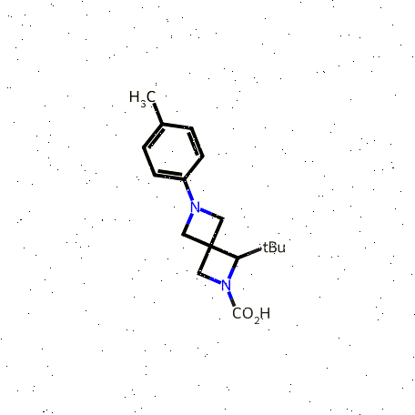 Cc1ccc(N2CC3(C2)CN(C(=O)O)C3C(C)(C)C)cc1